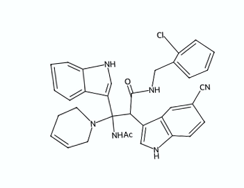 CC(=O)NC(c1c[nH]c2ccccc12)(C(C(=O)NCc1ccccc1Cl)c1c[nH]c2ccc(C#N)cc12)N1CC=CCC1